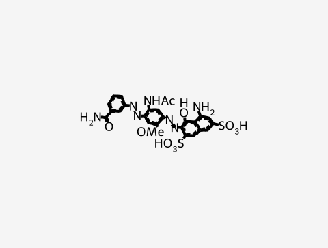 COc1cc(N=Nc2cccc(C(N)=O)c2)c(NC(C)=O)cc1N=Nc1c(S(=O)(=O)O)cc2cc(S(=O)(=O)O)cc(N)c2c1O